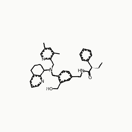 CC[C@H](C(=O)NCc1ccc(CN(Cc2ncc(C)cc2C)C2CCCc3cccnc32)c(CO)c1)c1ccccc1